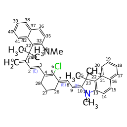 C=C(/C=C/C1=C(Cl)C(=C/C=C2/N(C)c3ccc4ccccc4c3C2(C)C)/CCC1)C(C)(C)c1c(NC)ccc2ccccc12